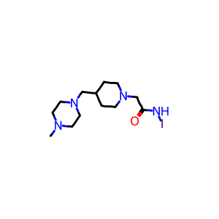 CN1CCN(CC2CCN(CC(=O)NI)CC2)CC1